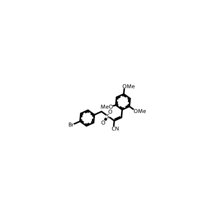 COc1cc(OC)c(/C=C(/C#N)S(=O)(=O)Cc2ccc(Br)cc2)c(OC)c1